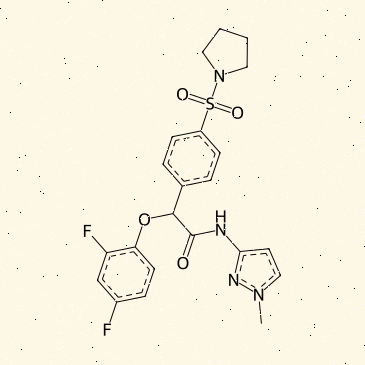 Cn1ccc(NC(=O)C(Oc2ccc(F)cc2F)c2ccc(S(=O)(=O)N3CCCC3)cc2)n1